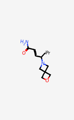 CC(C)C(C=CC(N)=O)N1CC2(COC2)C1